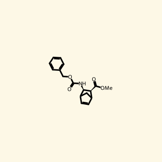 COC(=O)[C@H]1C2C=CC(C2)[C@H]1NC(=O)OCc1ccccc1